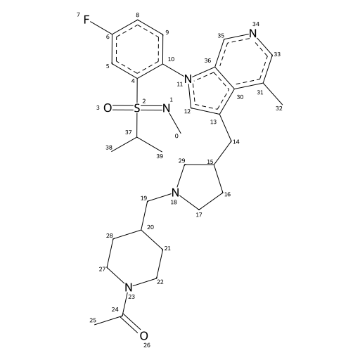 CN=S(=O)(c1cc(F)ccc1-n1cc(CC2CCN(CC3CCN(C(C)=O)CC3)C2)c2c(C)cncc21)C(C)C